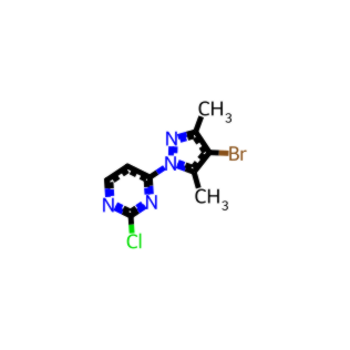 Cc1nn(-c2ccnc(Cl)n2)c(C)c1Br